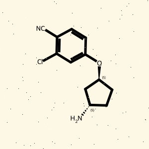 N#Cc1ccc(O[C@H]2CC[C@H](N)C2)cc1Cl